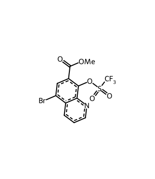 COC(=O)c1cc(Br)c2cccnc2c1OS(=O)(=O)C(F)(F)F